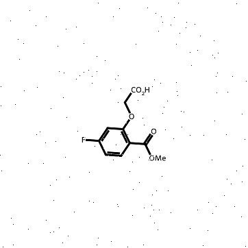 COC(=O)c1ccc(F)cc1OCC(=O)O